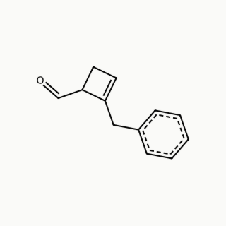 O=CC1CC=C1Cc1ccccc1